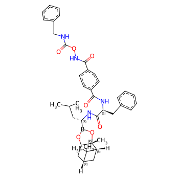 CC(C)C[C@H](NC(=O)[C@H](Cc1ccccc1)NC(=O)c1ccc(C(=O)NOC(=O)NCc2ccccc2)cc1)B1OC2C[C@H]3C[C@H](C3(C)C)[C@@]2(C)O1